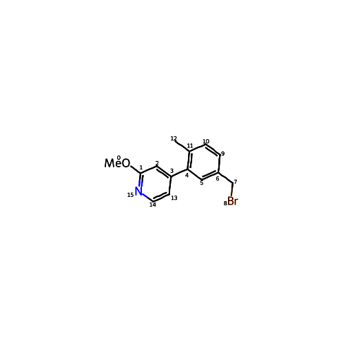 COc1cc(-c2cc(CBr)ccc2C)ccn1